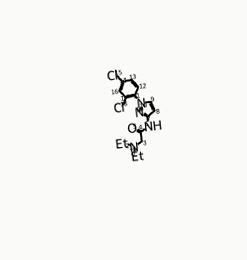 CCN(CC)CC(=O)Nc1ccn(-c2ccc(Cl)cc2Cl)n1